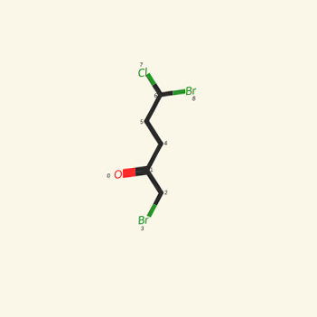 O=C(CBr)CCC(Cl)Br